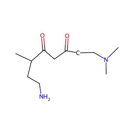 CC(CCN)C(=O)CC(=O)CCN(C)C